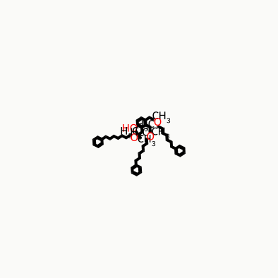 CC(C)(Cc1ccc(O)c(CC(C)(C)OCCCCCCCc2ccccc2)c1CC(C)(C)OCCCCCCCc1ccccc1)OCCCCCCCc1ccccc1